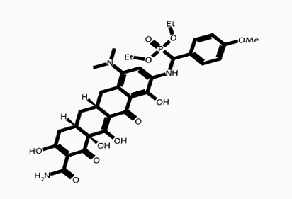 CCOP(=O)(OCC)C(Nc1cc(N(C)C)c2c(c1O)C(=O)C1=C(O)[C@]3(O)C(=O)C(C(N)=O)=C(O)C[C@@H]3C[C@@H]1C2)c1ccc(OC)cc1